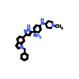 CN1CCC(NC2=CCC(N)(c3cc(-c4ccc5ccn(Cc6ccccc6)c5c4)n[nH]3)C=C2)CC1